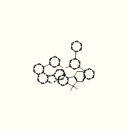 CC1(C)C2=C(CCC=C2)c2c(N(c3cc(-c4ccccc4)cc(-c4ccccc4)c3)c3cccc(-c4cccc5ccc6oc7ccccc7c6c45)c3)cccc21